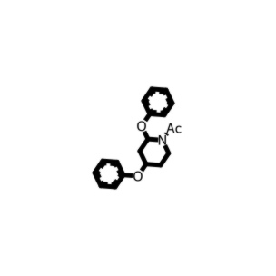 [CH2]C(=O)N1CCC(Oc2ccccc2)CC1Oc1ccccc1